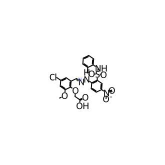 COc1cc(Cl)cc(/C=N/Nc2ccc([N+](=O)[O-])cc2S(=O)(=O)Nc2ccccc2C)c1OCC(=O)O